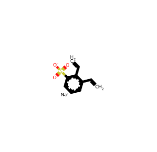 C=Cc1cccc(S(=O)(=O)[O-])c1C=C.[Na+]